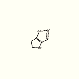 c1n[nH]c2c1NCC2